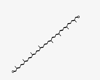 C\C(C=O)=C/C=C/C(C)=C/C=C/C(C)=C/C=C/C(C)=C/C=C/C=C(C)/C=C/C=C(C)/C=C/C=C(C)/C=C/C=C(\C)C=O